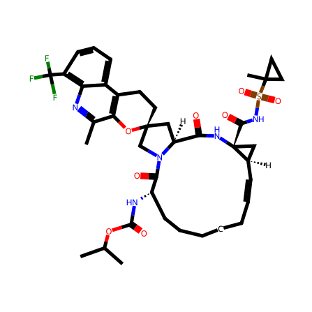 Cc1nc2c(C(F)(F)F)cccc2c2c1O[C@]1(CC2)C[C@H]2C(=O)N[C@]3(C(=O)NS(=O)(=O)C4(C)CC4)C[C@H]3/C=C\CCCCC[C@H](NC(=O)OC(C)C)C(=O)N2C1